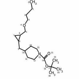 CCCCOCC1CC1CC1CCN(C(=O)OC(C)(C)C)CC1